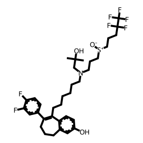 CC(C)(O)CN(CCCCCCC1=C(c2ccc(F)c(F)c2)CCCc2cc(O)ccc21)CCC[S+]([O-])CCCC(F)(F)C(F)(F)F